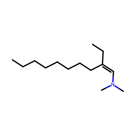 CCCCCCCC/C(=C\N(C)C)CC